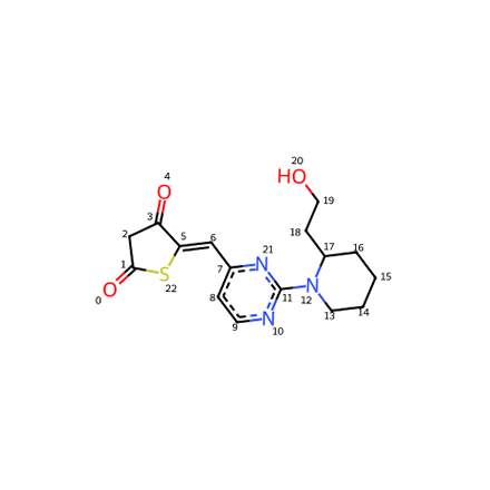 O=C1CC(=O)/C(=C/c2ccnc(N3CCCCC3CCO)n2)S1